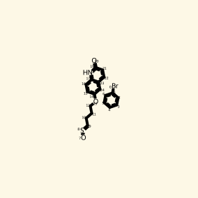 Brc1ccccc1.O=S=CCCCOc1ccc2[nH]c(=O)ccc2c1